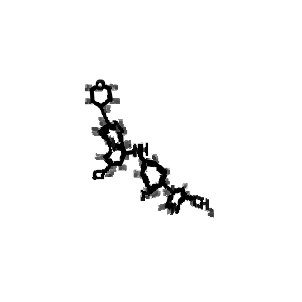 Cc1cn(-c2ccc(Nc3cc(Cl)cn4cc(C5CCOCC5)nc34)cc2F)cn1